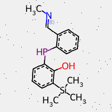 C/N=C/c1ccccc1Pc1cccc([Si](C)(C)C)c1O